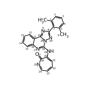 Cc1cccc(C)c1-c1nc2c3ccccc3nc(Nc3ccccnc3=O)n2n1